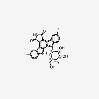 O=C1NC(=O)c2c1c1c3cc(F)ccc3[nH]c1c1c2c2cc(F)ccc2n1[C@@H]1O[C@H](CO)[C@@H](F)[C@H](O)[C@H]1O